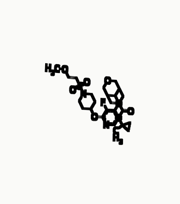 COCCS(=O)(=O)N1CCC(Oc2ncnc(OC3C4COCC3CN(C(=O)OC3(C)CC3)C4)c2F)CC1